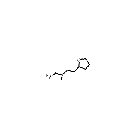 CCNCCC1CCCO1